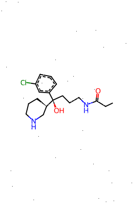 CCC(=O)NCCC[C@@](O)(c1cccc(Cl)c1)[C@@H]1CCCNC1